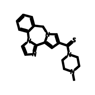 CN1CCN(C(=S)c2cc3n(c2)Cc2ccccc2-n2ccnc2-3)CC1